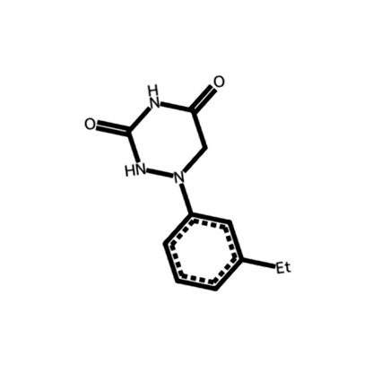 CCc1cccc(N2CC(=O)NC(=O)N2)c1